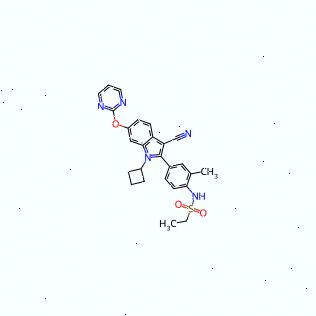 CCS(=O)(=O)Nc1ccc(-c2c(C#N)c3ccc(Oc4ncccn4)cc3n2C2CCC2)cc1C